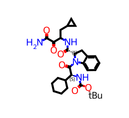 CC(C)(C)OC(=O)N[C@H](C(=O)N1c2ccccc2C[C@H]1C(=O)NC(CC1CC1)C(=O)C(N)=O)C1CCCCC1